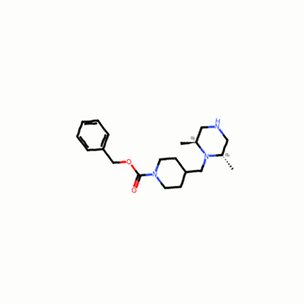 C[C@H]1CNC[C@H](C)N1CC1CCN(C(=O)OCc2ccccc2)CC1